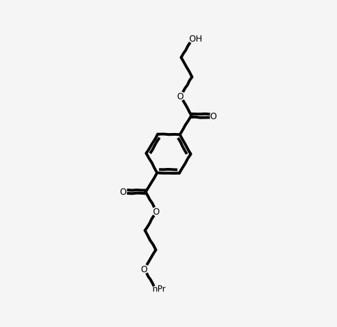 CCCOCCOC(=O)c1ccc(C(=O)OCCO)cc1